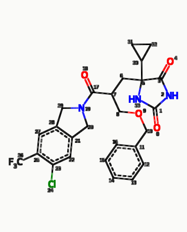 O=C1NC(=O)C(CC(COCc2ccccc2)C(=O)N2Cc3cc(Cl)c(C(F)(F)F)cc3C2)(C2CC2)N1